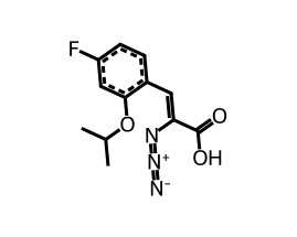 CC(C)Oc1cc(F)ccc1/C=C(\N=[N+]=[N-])C(=O)O